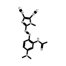 [C-]#[N+]c1nc(N=Nc2ccc(N(C)C)cc2NC(C)=O)n(C)c1[N+]#[C-]